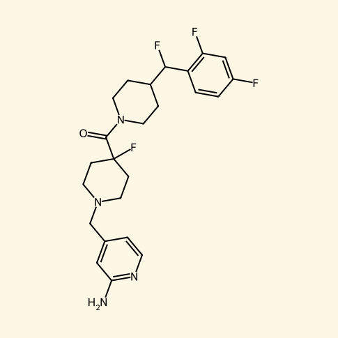 Nc1cc(CN2CCC(F)(C(=O)N3CCC(C(F)c4ccc(F)cc4F)CC3)CC2)ccn1